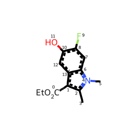 CCOC(=O)c1c(C)n(C)c2cc(F)c(O)cc12